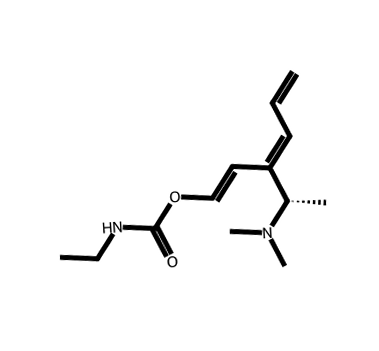 C=C/C=C(\C=C\OC(=O)NCC)[C@H](C)N(C)C